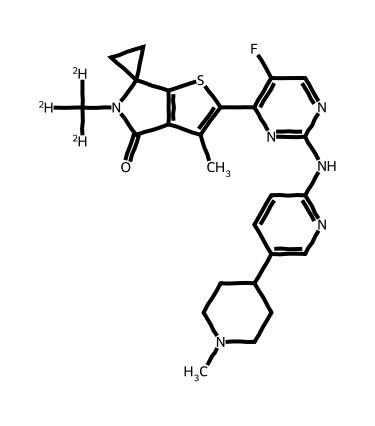 [2H]C([2H])([2H])N1C(=O)c2c(sc(-c3nc(Nc4ccc(C5CCN(C)CC5)cn4)ncc3F)c2C)C12CC2